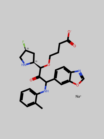 Cc1ccccc1NC(C(=O)C(OCCCC(=O)[O-])[C@@H]1C[C@H](F)CN1)c1ccc2ncoc2c1.[Na+]